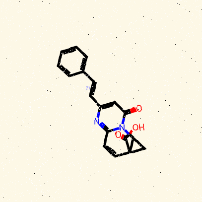 O=C(O)C12C=Cc3nc(/C=C/c4ccccc4)cc(=O)n3C1C2